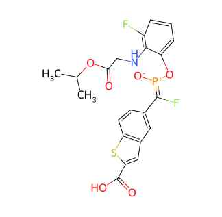 CC(C)OC(=O)CNc1c(F)cccc1O/[P+]([O-])=C(\F)c1ccc2sc(C(=O)O)cc2c1